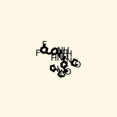 O=C(Nc1n[nH]c2ccc(Cc3cc(F)cc(F)c3)cc12)c1ccc(C(=O)N2CCC[C@H]2CN2CCCC2)cc1NC1CCOCC1